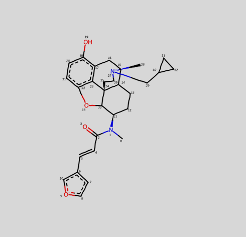 CN(C(=O)/C=C/c1ccoc1)[C@@H]1CCC2C3Cc4c(O)ccc5c4[C@@]2(CC[N@@+]3(C)CC2CC2)C1O5